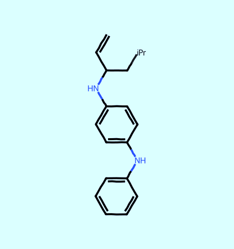 C=CC(CC(C)C)Nc1ccc(Nc2ccccc2)cc1